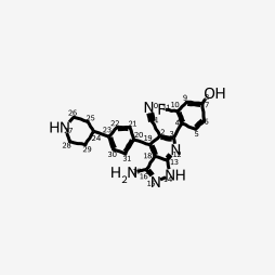 N#Cc1c(-c2ccc(O)cc2F)nc2[nH]nc(N)c2c1-c1ccc(C2CCNCC2)cc1